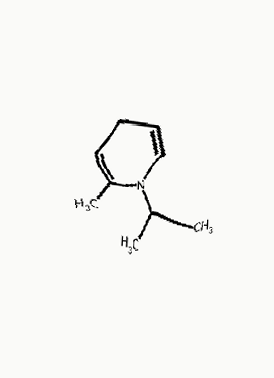 CC1=CCC=CN1C(C)C